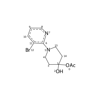 CC(=O)OC1(O)CCN(c2ncccc2Br)CC1